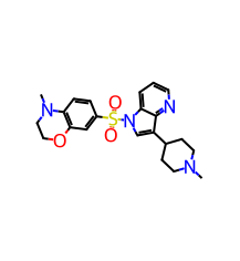 CN1CCC(c2cn(S(=O)(=O)c3ccc4c(c3)OCCN4C)c3cccnc23)CC1